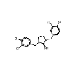 N=C1N(Cc2ccc(Cl)c(Cl)c2)CCN1Cc1ccc(Cl)c(Cl)c1